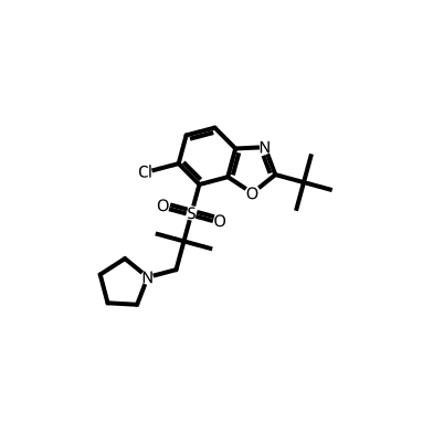 CC(C)(C)c1nc2ccc(Cl)c(S(=O)(=O)C(C)(C)CN3CCCC3)c2o1